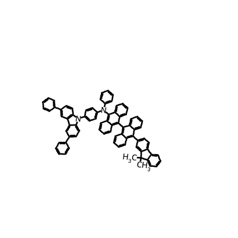 CC1(C)c2ccccc2-c2ccc(-c3c4ccccc4c(-c4c5ccccc5c(N(c5ccccc5)c5ccc(-n6c7ccc(-c8ccccc8)cc7c7cc(-c8ccccc8)ccc76)cc5)c5ccccc45)c4ccccc34)cc21